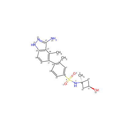 Cc1cc(S(=O)(=O)N[C@]2(C)C[C@H](O)C2)ccc1-c1ccc2[nH]nc(N)c2c1C